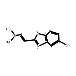 CN(C)C=Cc1nc2cc([N+](=O)[O-])ccc2o1